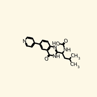 CC(C)CC(NC(=O)O)c1nc2ccc(-c3ccncc3)cc2c(=O)[nH]1